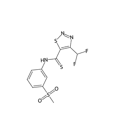 CS(=O)(=O)c1cccc(NC(=S)c2snnc2C(F)F)c1